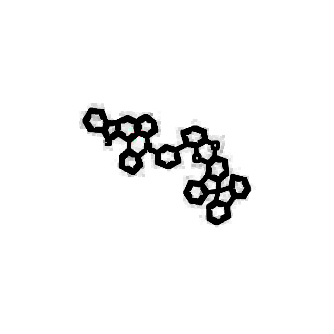 c1ccc(N(c2cccc(-c3cccc4c3Oc3c(ccc5c3-c3ccccc3C53c5ccccc5-c5ccccc53)O4)c2)c2ccccc2-c2cccc3c2sc2ccccc23)cc1